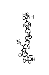 CC[C@@]1(O)C(=O)OCc2c1cc1n(c2=O)Cc2c-1nc1ccc(OC(=O)N3CCN(c4ncc(C(=O)NO)cn4)CC3)cc1c2CC[Si](C)(C)C